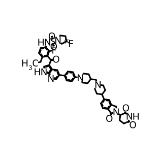 CCc1ccc(NS(=O)(=O)N2CC[C@@H](F)C2)c(F)c1C(=O)c1c[nH]c2ncc(-c3ccc(N4CCC(CN5CCC(c6ccc7c(c6)CN(C6CCC(=O)NC6=O)C7=O)CC5)CC4)cc3)cc12